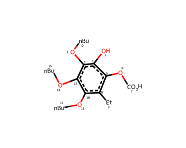 CCCCOc1c(O)c(OC(=O)O)c(CC)c(OCCCC)c1OCCCC